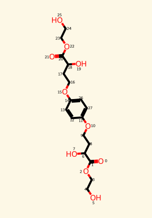 O=C(OCCO)C(O)CCOc1ccc(OCCC(O)C(=O)OCCO)cc1